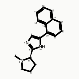 CN1CCC[C@@H]1c1ncc(-c2cccc3ccccc23)[nH]1